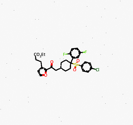 CCOC(=O)CCc1ccoc1C(=O)CC1CCC(c2cc(F)ccc2F)(S(=O)(=O)c2ccc(Cl)cc2)CC1